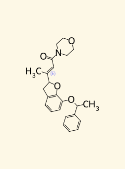 C/C(=C\C(=O)N1CCOCC1)C1Cc2cccc(OC(C)c3ccccc3)c2O1